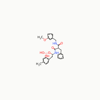 COc1cccc(CNC(=O)C(Cc2ccccc2)C(=O)N[C@@H](Cc2ccc(C)cc2)OB(O)O)c1